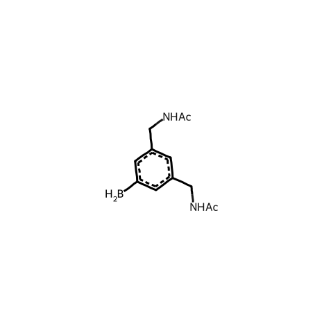 Bc1cc(CNC(C)=O)cc(CNC(C)=O)c1